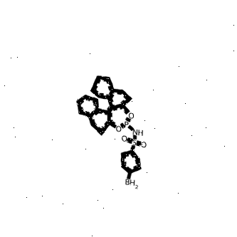 Bc1ccc(S(=O)(=O)Np2oc3ccc4ccccc4c3c3c(ccc4ccccc43)o2)cc1